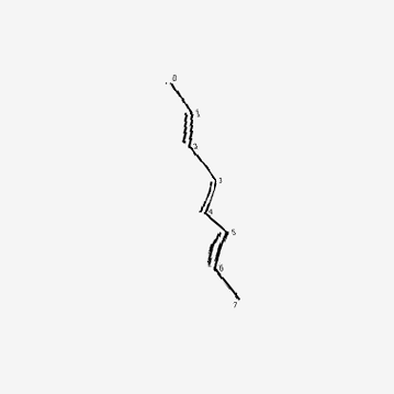 [CH2]C=CC=CC=CC